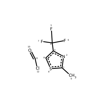 Cc1nc(C(F)(F)F)cs1.O=CCl